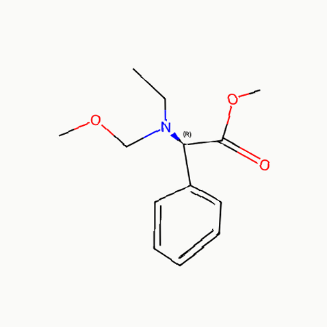 CCN(COC)[C@@H](C(=O)OC)c1ccccc1